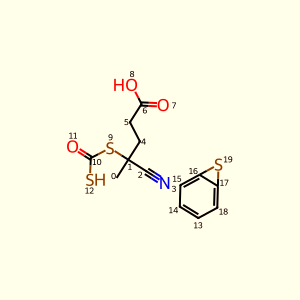 CC(C#N)(CCC(=O)O)SC(=O)S.c1ccc2c(c1)S2